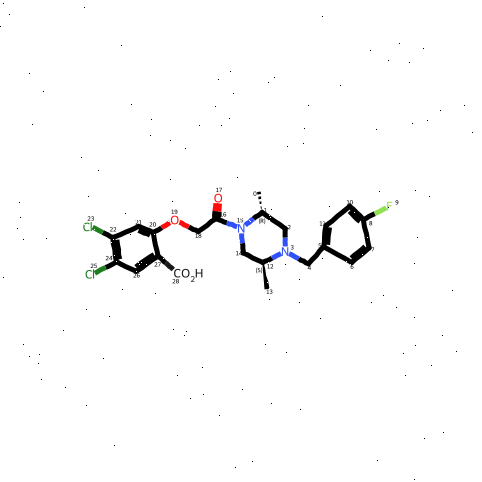 C[C@@H]1CN(Cc2ccc(F)cc2)[C@@H](C)CN1C(=O)COc1cc(Cl)c(Cl)cc1C(=O)O